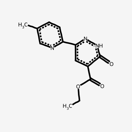 CCOC(=O)c1cc(-c2ccc(C)cn2)n[nH]c1=O